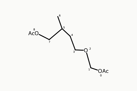 CC(=O)OCOCCC(C)COC(C)=O